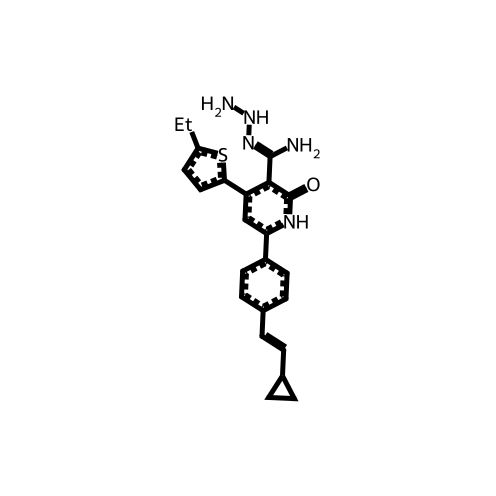 CCc1ccc(-c2cc(-c3ccc(/C=C/C4CC4)cc3)[nH]c(=O)c2/C(N)=N/NN)s1